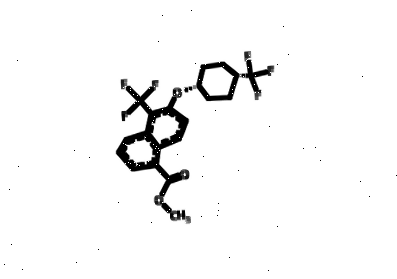 COC(=O)c1cccc2c(C(F)(F)F)c(O[C@H]3CC[C@@H](C(F)(F)F)CC3)ccc12